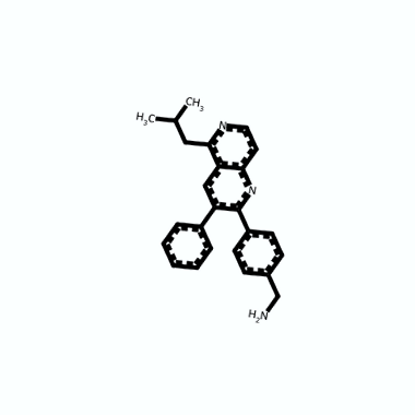 CC(C)Cc1nccc2nc(-c3ccc(CN)cc3)c(-c3ccccc3)cc12